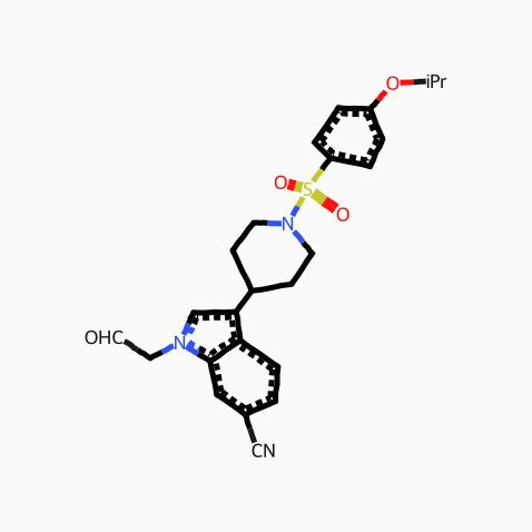 CC(C)Oc1ccc(S(=O)(=O)N2CCC(c3cn(CC=O)c4cc(C#N)ccc34)CC2)cc1